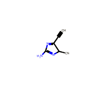 C#CC1=NC(N)=NC1C#N